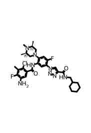 Cc1c(F)c(N)cc(C(=O)Nc2cc(-n3cc(C(=O)NCC4CCCCC4)nn3)c(F)cc2N2C[C@@H](C)N(C)[C@@H](C)C2)c1Cl